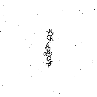 Cc1nccc2nc([CH]CN3CCN(S(=O)(=O)c4ccc(C(F)(F)F)cc4)CC3)ccc12